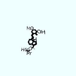 C=C1C(=CC=C2CCC[C@]3(C)C([C@H](C)OC[C@@H](O)C(C)C)=CC[C@@H]23)C[C@H](O)C[C@@H]1O